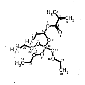 C=C(C)C(=O)OC(CC)O[Si](OOCC)(OOCC)OOCC